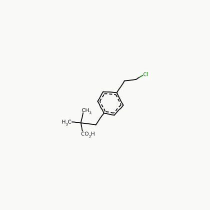 CC(C)(Cc1ccc(CCCl)cc1)C(=O)O